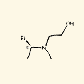 CC[C@H](C)N(C)CCO